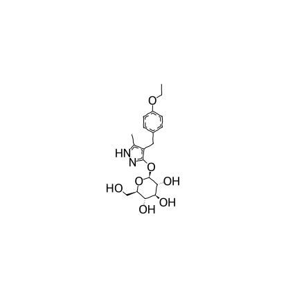 CCOc1ccc(Cc2c(O[C@@H]3O[C@H](CO)[C@@H](O)[C@H](O)[C@H]3O)n[nH]c2C)cc1